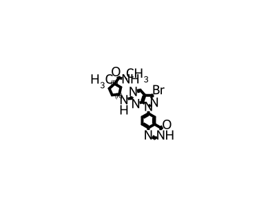 CNC(=O)[C@]1(C)CC[C@@H](Nc2ncc3c(Br)nn(-c4ccc5nc[nH]c(=O)c5c4)c3n2)C1